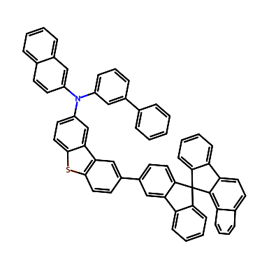 c1ccc(-c2cccc(N(c3ccc4ccccc4c3)c3ccc4sc5ccc(-c6ccc7c(c6)-c6ccccc6C76c7ccccc7-c7ccc8ccccc8c76)cc5c4c3)c2)cc1